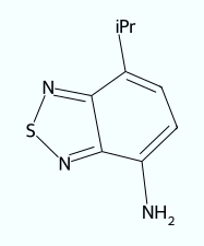 CC(C)c1ccc(N)c2nsnc12